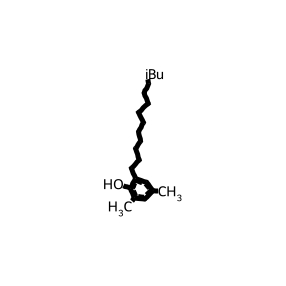 CCC(C)CCCCCCCCCCc1cc(C)cc(C)c1O